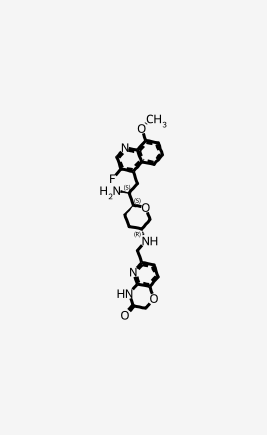 COc1cccc2c(C[C@H](N)[C@@H]3CC[C@@H](NCc4ccc5c(n4)NC(=O)CO5)CO3)c(F)cnc12